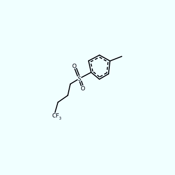 Cc1ccc(S(=O)(=O)CCCC(F)(F)F)cc1